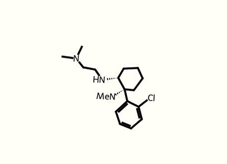 CN[C@@]1(c2ccccc2Cl)CCCC[C@H]1NCCN(C)C